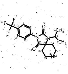 CC(C)N1C(=O)N(c2ccc(C(F)(F)F)nc2)C(=O)C12CCNCC2